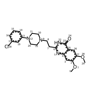 COc1cc2nc(CCN3CCN(c4cccc(Cl)c4)CC3)[nH]c(=O)c2cc1OC